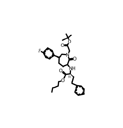 CCCCOC(=O)[C@H](CCc1ccccc1)NC1CCC(c2ccc(F)cc2)CN(CC(=O)OC(C)(C)C)C1=O